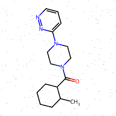 CC1CCCCC1C(=O)N1CCN(c2cccnn2)CC1